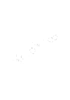 NC(=O)N(O)CCOc1ccc2c(c1)CCN(CCOc1ccc3ccccc3c1)C2=O